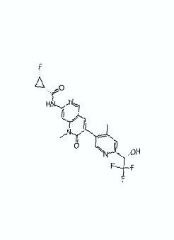 Cc1cc([C@H](O)C(F)(F)F)ncc1-c1cc2cnc(NC(=O)[C@@H]3C[C@@H]3F)cc2n(C)c1=O